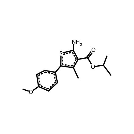 COc1ccc(-c2sc(N)c(C(=O)OC(C)C)c2C)cc1